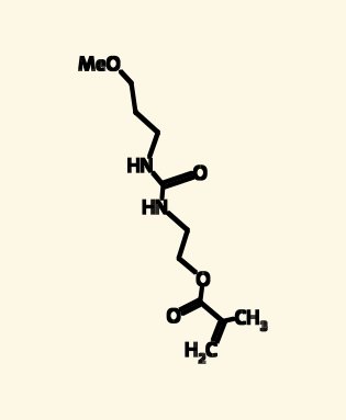 C=C(C)C(=O)OCCNC(=O)NCCCOC